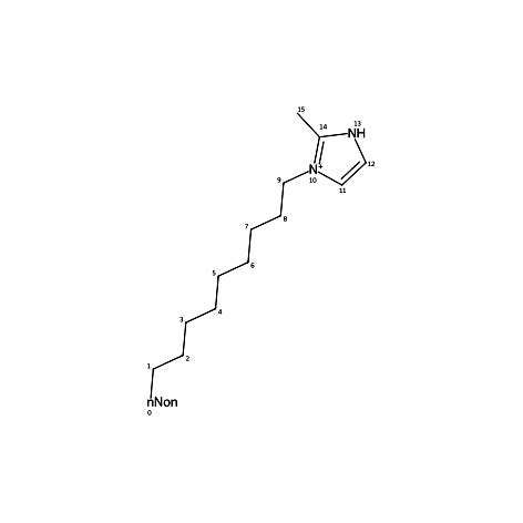 CCCCCCCCCCCCCCCCCC[n+]1cc[nH]c1C